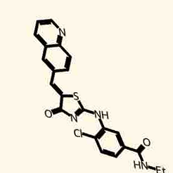 CCNC(=O)c1ccc(Cl)c(NC2=NC(=O)/C(=C/c3ccc4ncccc4c3)S2)c1